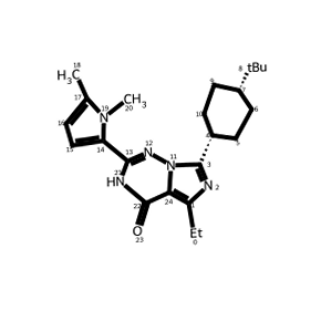 CCc1nc([C@H]2CC[C@@H](C(C)(C)C)CC2)n2nc(-c3ccc(C)n3C)[nH]c(=O)c12